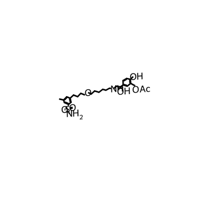 CC(=O)OCc1cc([C@@H](O)CNCCCCCCOCCCCc2cc(C)cc(S(N)(=O)=O)c2)ccc1O